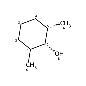 CC1CCC[C@H](C)[C@@H]1O